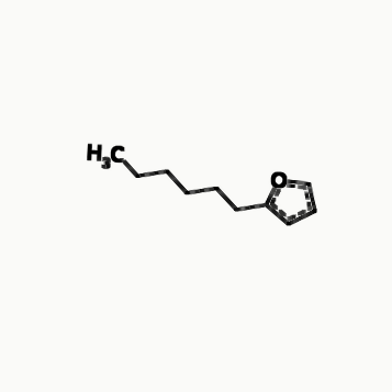 CCCCCCc1ccco1